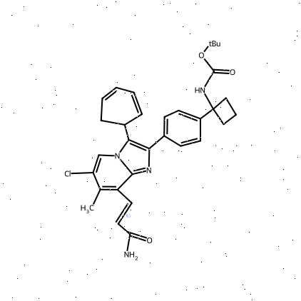 Cc1c(Cl)cn2c(C3C=CC=CC3)c(-c3ccc(C4(NC(=O)OC(C)(C)C)CCC4)cc3)nc2c1/C=C/C(N)=O